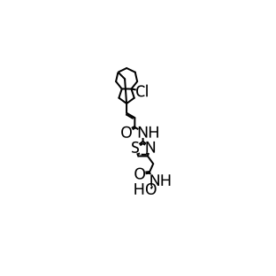 O=C(/C=C/C12CC3CCCC(Cl)(C1)C(C3)C2)Nc1nc(CC(=O)NO)cs1